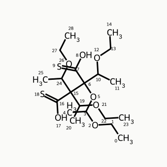 CCOC(C)OC(C(O)=S)(C(C)OCC)C(C(O)=S)(C(C)OCC)C(C)OCC